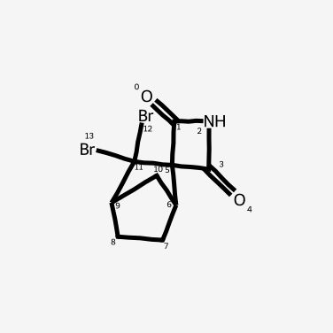 O=C1NC(=O)C12C1CCC(C1)C2(Br)Br